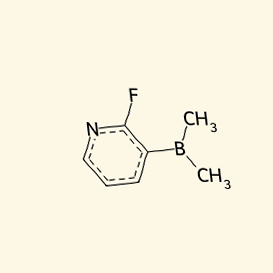 CB(C)c1cccnc1F